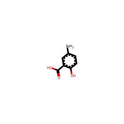 O=C(O)c1cc([AsH2])ccc1O